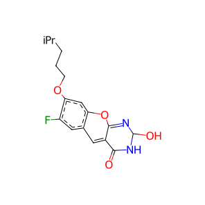 CC(C)CCCOc1cc2c(cc1F)C=C1C(=O)NC(O)N=C1O2